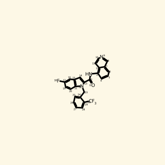 O=C(Nc1cccc2cnccc12)c1cc2cc(F)ccc2n1Cc1ccccc1C(F)(F)F